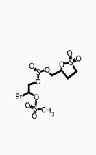 CCC(COS(=O)OCC1CCS(=O)(=O)O1)OS(C)(=O)=O